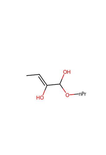 CC=C(O)C(O)OCCC